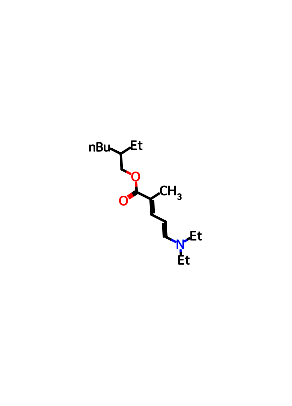 CCCCC(CC)COC(=O)/C(C)=C/C=C/N(CC)CC